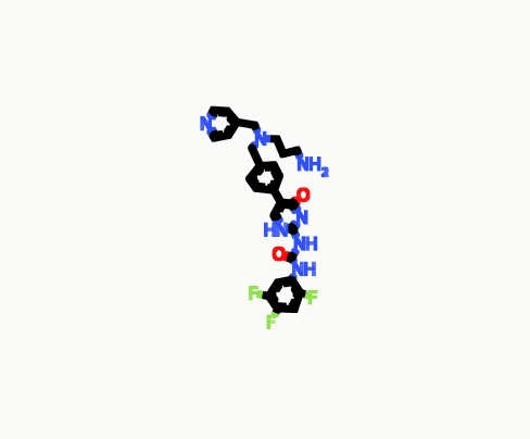 NCCCN(Cc1ccncc1)Cc1ccc(-c2c[nH]c(NC(=O)Nc3cc(F)c(F)cc3F)nc2=O)cc1